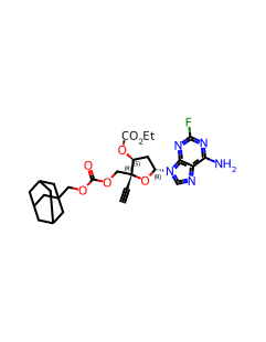 C#C[C@]1(COC(=O)OCC23CC4CC(CC(C4)C2)C3)O[C@@H](n2cnc3c(N)nc(F)nc32)C[C@@H]1OC(=O)OCC